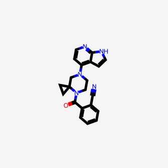 N#Cc1ccccc1C(=O)N1CCN(c2ccnc3[nH]ccc23)CC12CC2